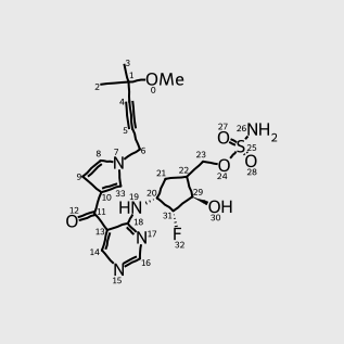 COC(C)(C)C#CCn1ccc(C(=O)c2cncnc2N[C@@H]2CC(COS(N)(=O)=O)[C@@H](O)[C@@H]2F)c1